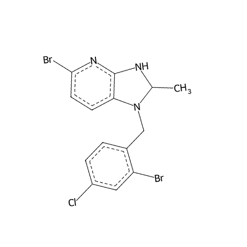 CC1Nc2nc(Br)ccc2N1Cc1ccc(Cl)cc1Br